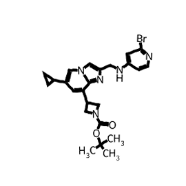 CC(C)(C)OC(=O)N1CC(c2cc(C3CC3)cn3cc(CNc4ccnc(Br)c4)nc23)C1